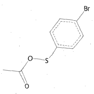 CC(=O)OSc1ccc(Br)cc1